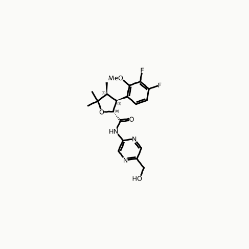 COc1c([C@H]2[C@H](C(=O)Nc3cnc(CO)cn3)OC(C)(C)[C@H]2C)ccc(F)c1F